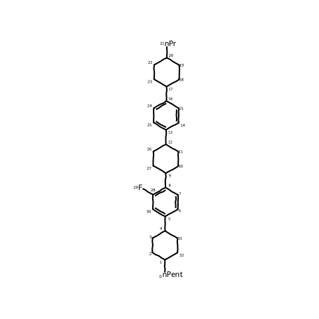 CCCCCC1CCC(c2ccc(C3CCC(c4ccc(C5CCC(CCC)CC5)cc4)CC3)c(F)c2)CC1